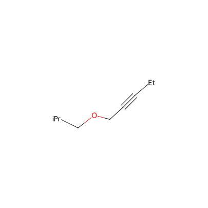 CCC#CCOCC(C)C